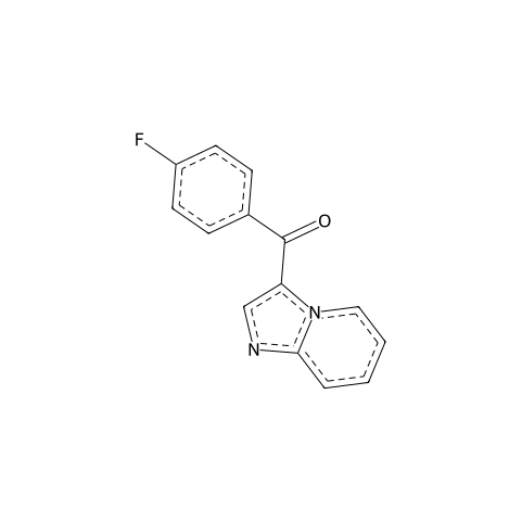 O=C(c1ccc(F)cc1)c1cnc2ccccn12